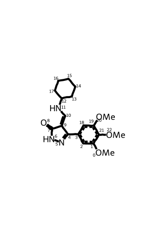 COc1cc(C2=NNC(=O)/C2=C\NC2CCCCC2)cc(OC)c1OC